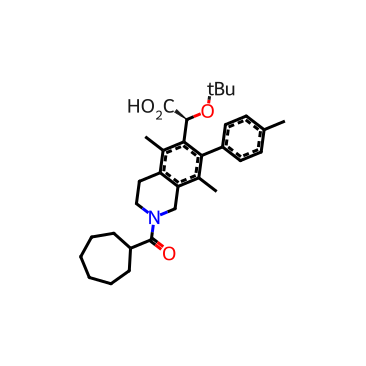 Cc1ccc(-c2c(C)c3c(c(C)c2[C@H](OC(C)(C)C)C(=O)O)CCN(C(=O)C2CCCCCC2)C3)cc1